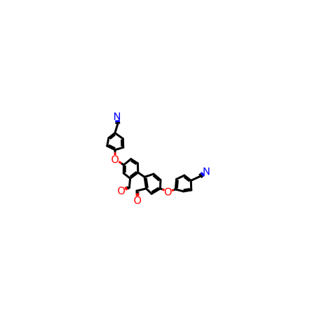 N#Cc1ccc(Oc2ccc(-c3ccc(Oc4ccc(C#N)cc4)cc3C=O)c(C=O)c2)cc1